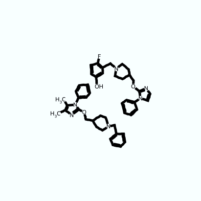 Cc1nc(OCC2CCN(Cc3ccccc3)CC2)n(-c2ccccc2)c1C.Oc1ccc(F)c(CN2CCC(COc3nccn3-c3ccccc3)CC2)c1